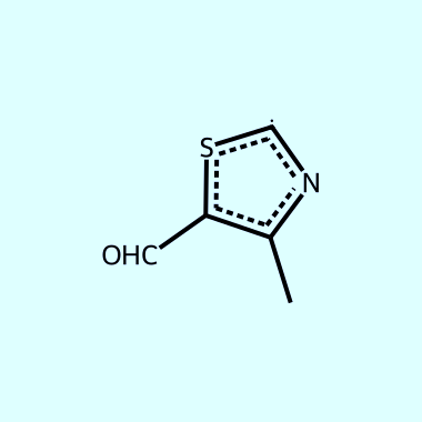 Cc1n[c]sc1C=O